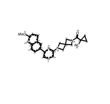 COc1ccc2cc(-c3cncc(N4CC5(CN(C(=O)C6(C#N)CC6)C5)C4)n3)ccc2n1